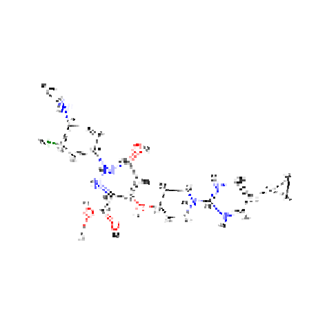 [C-]#[N+]c1ccc(-n2nc(C(=O)OC)c(OC3CCN(c4ncc(C5CC5)cn4)CC3)cc2=O)cc1F